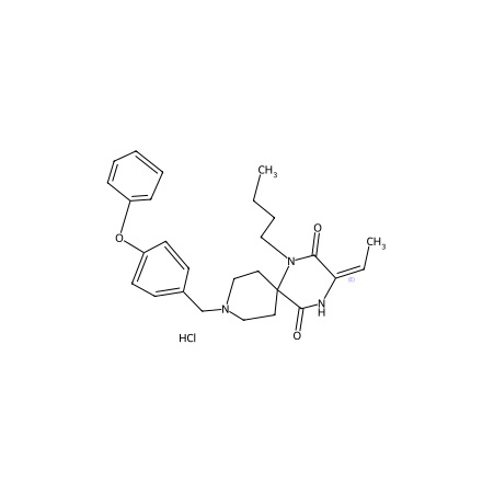 C/C=C1/NC(=O)C2(CCN(Cc3ccc(Oc4ccccc4)cc3)CC2)N(CCCC)C1=O.Cl